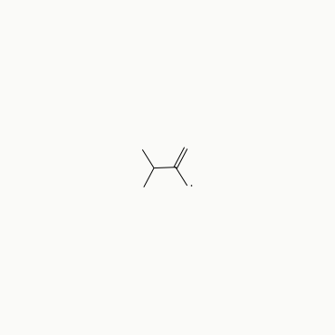 [CH2]C(=C)C(C)C